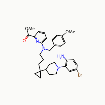 COC(=O)c1cccc(N(CCCC2(C3CCN(c4cc(Br)ccc4N)CC3)CC2)Cc2ccc(OC)cc2)n1